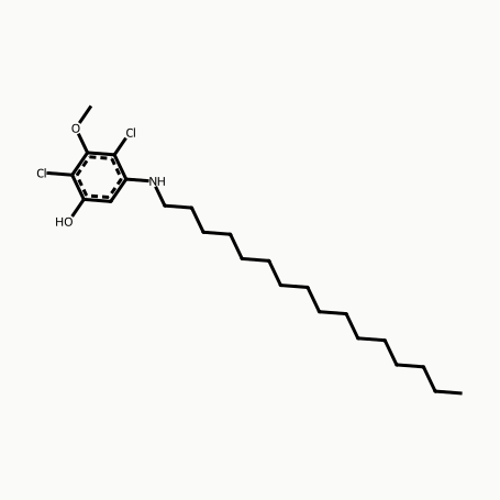 CCCCCCCCCCCCCCCCNc1cc(O)c(Cl)c(OC)c1Cl